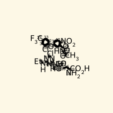 CCNc1nc(Cl)nc(NCC)n1.CP(=O)(O)CCC(N)C(=O)O.CS(=O)(=O)NC(=O)c1cc(Oc2ccc(C(F)(F)F)cc2Cl)ccc1[N+](=O)[O-]